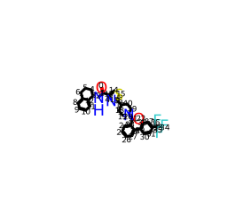 O=C(NC1CCCc2ccccc21)c1csc(C2CCN(C(=O)c3ccccc3-c3ccc(C(F)(F)F)cc3)CC2)n1